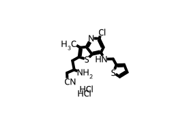 Cc1c(CC(N)CC#N)sc2c(NCc3cccs3)cc(Cl)nc12.Cl.Cl